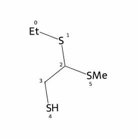 CCSC(CS)SC